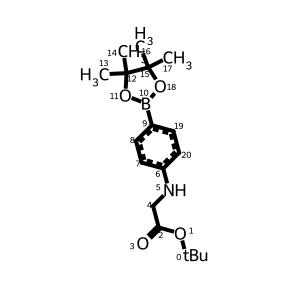 CC(C)(C)OC(=O)CNc1ccc(B2OC(C)(C)C(C)(C)O2)cc1